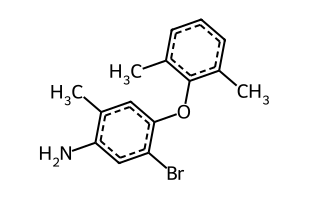 Cc1cc(Oc2c(C)cccc2C)c(Br)cc1N